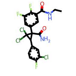 CCNC(=O)c1cc(C2(C(N)=O)C(c3ccc(F)c(Cl)c3)C2(Cl)Cl)cc(F)c1F